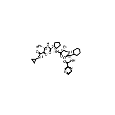 CCC[C@H](NC(=O)[C@@H]1CCC[C@@H]1NC(=O)[C@H](CC)NC(=O)[C@@H](NC(=O)c1cnccn1)C1CCCCC1)C(=O)C(=O)NC1CC1